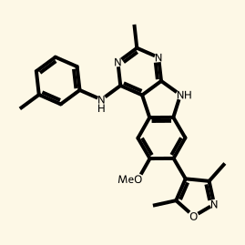 COc1cc2c(cc1-c1c(C)noc1C)[nH]c1nc(C)nc(Nc3cccc(C)c3)c12